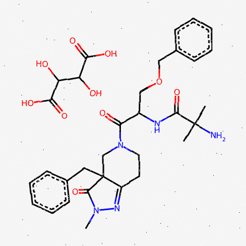 CN1N=C2CCN(C(=O)C(COCc3ccccc3)NC(=O)C(C)(C)N)CC2(Cc2ccccc2)C1=O.O=C(O)C(O)C(O)C(=O)O